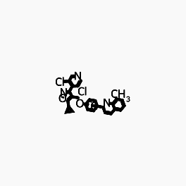 Cc1cccc2ccc(C34CCC(OCc5c(-c6c(Cl)cncc6Cl)noc5C5CC5)(CC3)CC4)nc12